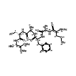 CCCC[C@H](NC(=O)[C@H](CC(C)C)NC(=O)[C@@H](NC(=O)[C@H](Cc1ccccc1C)NC(=O)[C@H](NC(=O)[C@H](COC(C)(C)C)NC(C)=O)C(C)C)C(C)(C)C)C(OC)OC